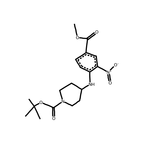 COC(=O)c1ccc(NC2CCN(C(=O)OC(C)(C)C)CC2)c([N+](=O)[O-])c1